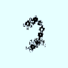 CC1(C)[C@H](NC(=O)c2ccc(N3CCC(CN4CCN(c5cccc6c(=O)n([C@@H]7CCC(=O)NC7=O)ncc56)CC4)CC3)cc2)C(C)(C)[C@H]1Oc1ccc(C#N)c(Cl)c1